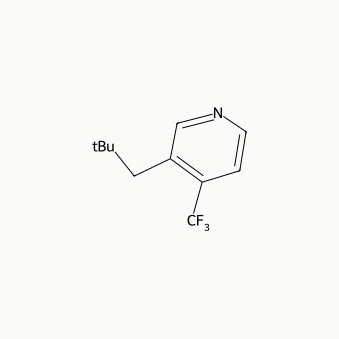 CC(C)(C)Cc1cnccc1C(F)(F)F